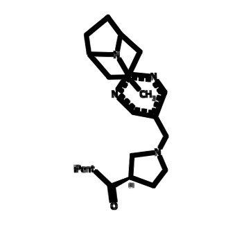 CCCC(C)C(=O)[C@@H]1CCN(Cc2cnc(N3C4CCC3CN(C)C4)nc2)C1